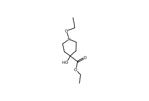 CCOC(=O)C1(O)CCN(OCC)CC1